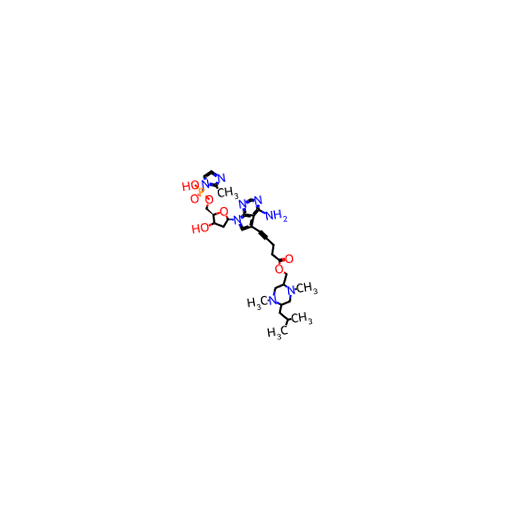 Cc1nccn1P(=O)(O)OC[C@H]1O[C@@H](n2cc(C#CCCC(=O)OCC3CN(C)C(CC(C)C)CN3C)c3c(N)ncnc32)CC1O